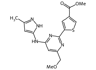 COCc1cc(Nc2cc(C)n[nH]2)nc(-c2cc(C(=O)OC)cs2)n1